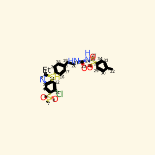 CCC1=Nc2cc(S(C)(=O)=O)c(Cl)cc2[SH]1c1ccc(CCNC(=O)NS(=O)(=O)c2ccc(C)cc2)cc1